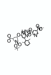 COC(=O)C1CC(Oc2cc(-c3c(C)cccc3C)nc(NS(=O)(=O)c3cncc([N+](=O)[O-])c3)n2)CN(C(=O)OC(C)(C)C)C1